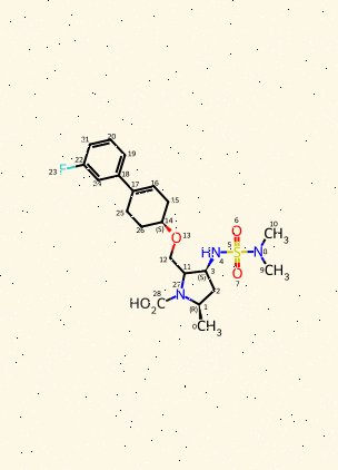 C[C@@H]1C[C@H](NS(=O)(=O)N(C)C)C(CO[C@@H]2CC=C(c3cccc(F)c3)CC2)N1C(=O)O